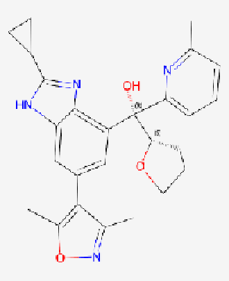 Cc1cccc([C@](O)(c2cc(-c3c(C)noc3C)cc3[nH]c(C4CC4)nc23)[C@@H]2CCCO2)n1